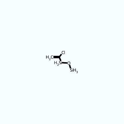 C=C(Cl)[SiH2]O[SiH3]